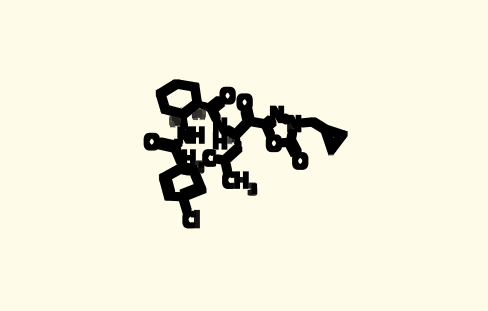 CC(C)C[C@H](NC(=O)[C@@H]1CCCC[C@@H]1NC(=O)c1ccc(Cl)cc1)C(=O)c1nn(CC2CC2)c(=O)o1